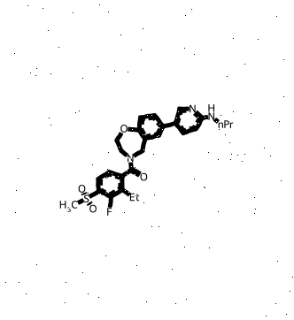 CCCNc1ccc(-c2ccc3c(c2)CN(C(=O)c2ccc(S(C)(=O)=O)c(F)c2CC)CCO3)cn1